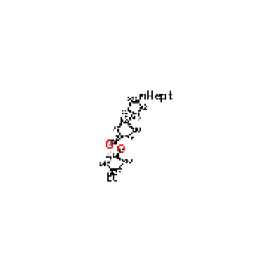 CCCCCCCc1ccc(-c2ccc(C(=O)Oc3ccc(CC)cc3)cc2)cc1